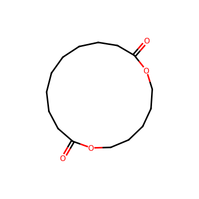 O=C1CCCCCCCCC(=O)OCCCCCO1